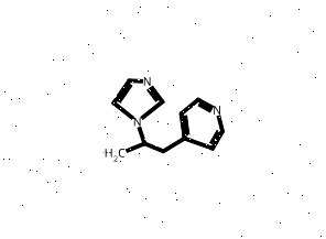 [CH2]C(Cc1ccncc1)n1ccnc1